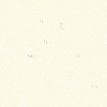 CC(C)(C)OC(=O)N1CCC(Nc2ncc(Cl)c(N)n2)C1